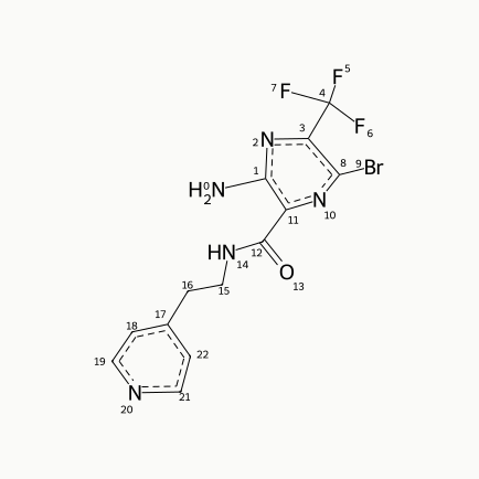 Nc1nc(C(F)(F)F)c(Br)nc1C(=O)NCCc1ccncc1